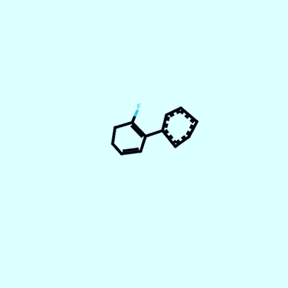 FC1=C(c2ccccc2)C=CCC1